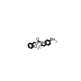 Bc1ccc(CC(NC(=O)OCc2ccccc2)C(=O)O)cc1